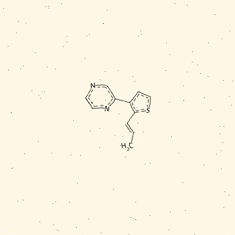 [CH2]/C=C/c1sccc1-c1cnccn1